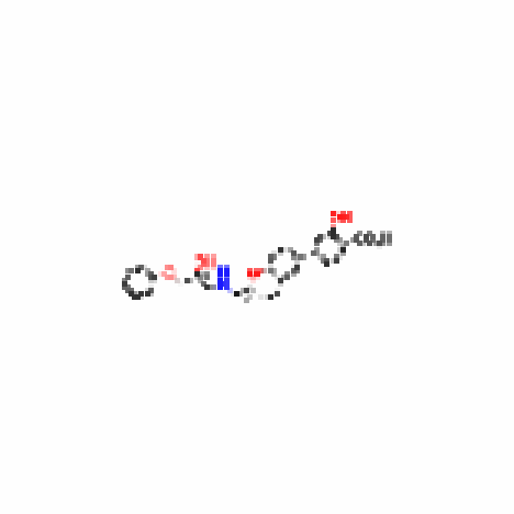 O=C(O)c1ccc(-c2ccc3c(c2)CC[C@@H](CNC[C@H](O)COc2ccccc2)O3)cc1O